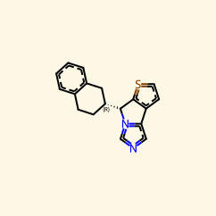 c1ccc2c(c1)CC[C@@H](C1c3sccc3-c3cncn31)C2